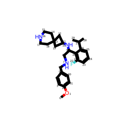 COc1ccc(CNCC(NC2CC3(CCNCC3)C2)c2c(F)cccc2C(C)C)cc1